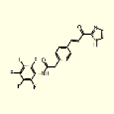 O=C(Cc1ccc(C=CC(=O)c2ncc[nH]2)cc1)Nc1c(F)c(F)c(F)c(F)c1F